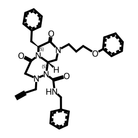 C#CCN1CC(=O)N2[C@@H](Cc3ccccc3)C(=O)N(CCCOc3ccccc3)C[C@@H]2N1C(=O)NCc1ccccc1